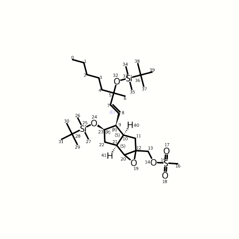 CCCCCC(C)(/C=C/[C@H]1[C@H]2CC3(COS(C)(=O)=O)OC3[C@H]2C[C@H]1O[Si](C)(C)C(C)(C)C)O[Si](C)(C)C(C)(C)C